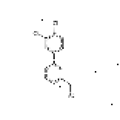 CC(=O)Cc1cccc(-c2ccc(Cl)c(Cl)c2)c1